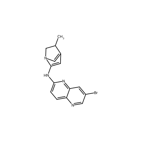 CC1Cn2cc1cc2Nc1ccc2ncc(Br)cc2n1